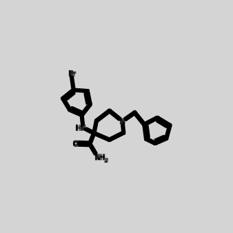 NC(=O)C1(Nc2ccc(Br)cc2)CCN(Cc2ccccc2)CC1